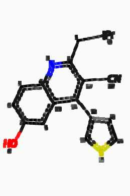 CC(C)Cc1nc2ccc(O)cc2c(-c2ccsc2)c1C#N